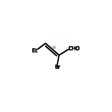 CC/C=C(\Br)C=O